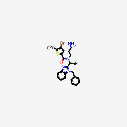 CCCc1sc(C(=O)N(CCCN)C(c2nc3ccccc3n2Cc2ccccc2)C(C)C)cc1Br